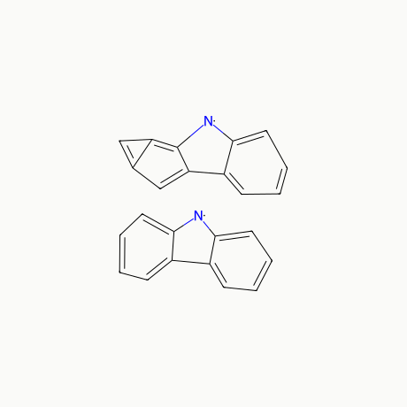 c1ccc2c(c1)[N]c1c3cc-3cc1-2.c1ccc2c(c1)[N]c1ccccc1-2